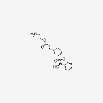 NCCOC(=O)/C=C/c1cccc(S(=O)(=O)N(O)c2ccccc2)c1